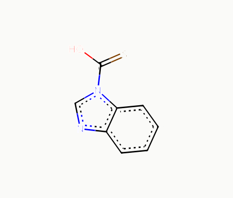 OC(=S)n1cnc2ccccc21